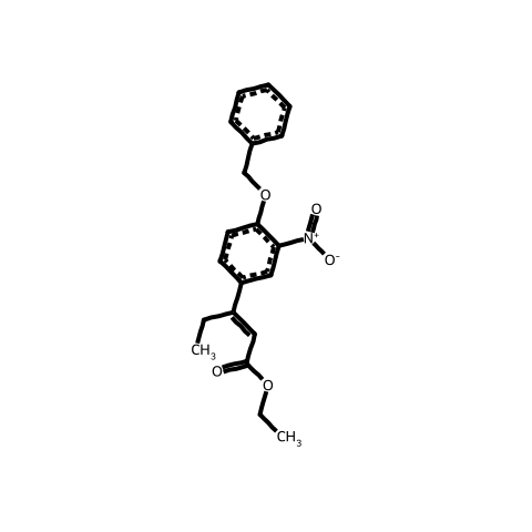 CCOC(=O)C=C(CC)c1ccc(OCc2ccccc2)c([N+](=O)[O-])c1